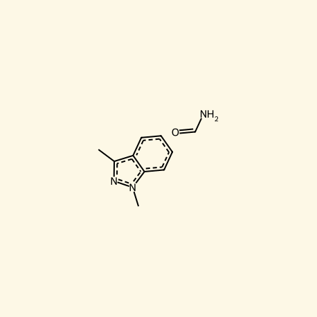 Cc1nn(C)c2ccccc12.NC=O